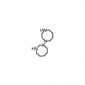 C1CCNCN(N2CCCCNCC2)CC1